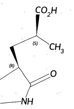 C[C@@H](C[C@@H]1CCNC1=O)C(=O)O